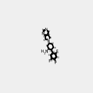 N[C@H]1C[C@@H](N2Cc3cncnc3C2)CCC1c1cc(F)c(F)cc1F